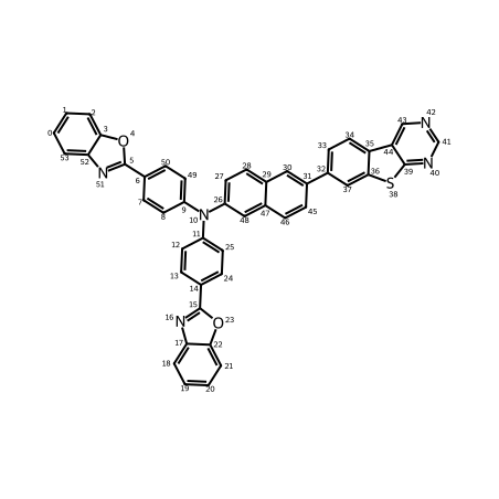 c1ccc2oc(-c3ccc(N(c4ccc(-c5nc6ccccc6o5)cc4)c4ccc5cc(-c6ccc7c(c6)sc6ncncc67)ccc5c4)cc3)nc2c1